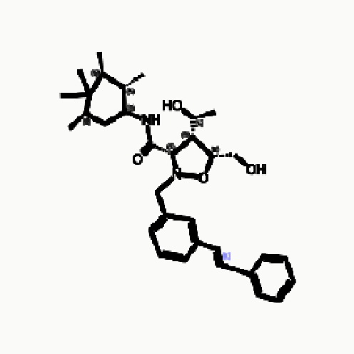 C[C@@H]1[C@@H](NC(=O)[C@@H]2[C@H]([C@H](C)O)[C@H](CO)ON2Cc2cccc(/C=C/c3ccccc3)c2)C[C@@H](C)C(C)(C)[C@H]1C